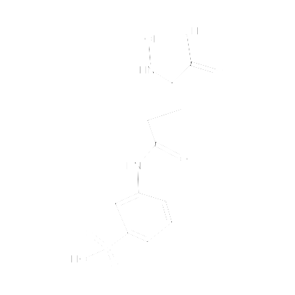 O=C(CC[C@H](NO)C(=O)O)Nc1cccc(S(=O)(=O)O)c1